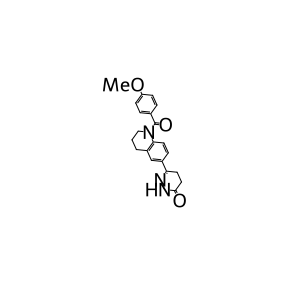 COc1ccc(C(=O)N2CCCc3cc(C4=NNC(=O)CC4)ccc32)cc1